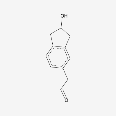 O=CCc1ccc2c(c1)CC(O)C2